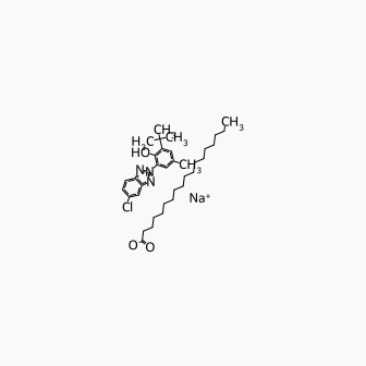 CCCCCCCCCCCCCCCCCC(=O)[O-].Cc1cc(-n2nc3ccc(Cl)cc3n2)c(O)c(C(C)(C)C)c1.[Na+]